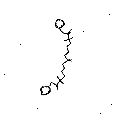 CC(C)(CCCCC(=O)CCCCC(C)(C)C(=O)Cc1ccccc1)C(=O)Cc1ccccc1